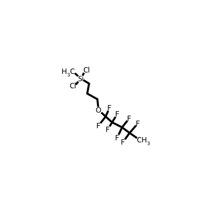 CC(F)(F)C(F)(F)C(F)(F)C(F)(F)OCCC[Si](C)(Cl)Cl